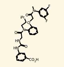 CC(C)CCN(C(=O)CNC(=O)Nc1cccc(C(=O)O)c1)c1ccccc1OCC(=O)N(C)c1cc(F)cc(F)c1